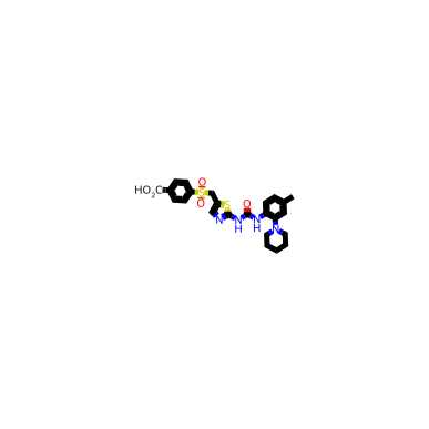 Cc1ccc(NC(=O)Nc2ncc(CS(=O)(=O)c3ccc(C(=O)O)cc3)s2)c(N2CCCCC2)c1